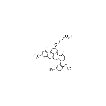 CCOc1ccc(C(C)C)cc1-c1ccc(C)cc1CN(Cc1cc(C)cc(C(F)(F)F)c1)c1ncc(OCCCC(=O)O)cn1